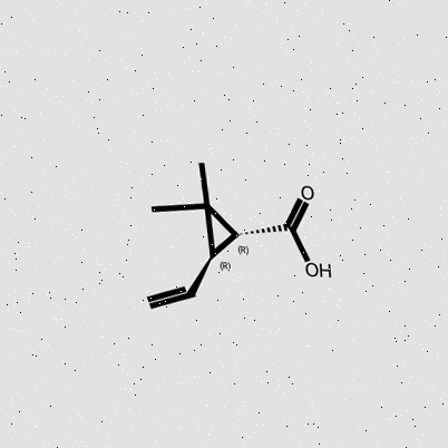 C=C[C@@H]1[C@@H](C(=O)O)C1(C)C